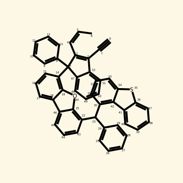 C#CC1=C(/C=C\C)C(c2ccccc2)(c2cccc3c2oc2c(C(c4ccccc4)c4cccc5sc6ccccc6c45)cccc23)c2ccccc21